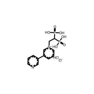 Cl.O=P(O)(O)C(C[n+]1cccc(-c2cccnc2)c1)P(=O)(O)O.[Cl-]